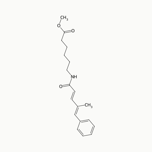 COC(=O)CCCCCNC(=O)/C=C/C(C)=C/c1ccccc1